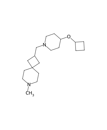 CN1CCC2(CC1)CC(CN1CCC(OC3CCC3)CC1)C2